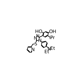 CCN(CC)c1ccc(-n2c(SCc3ccccn3)nnc2-c2cc(C(C)C)c(O)cc2O)cc1